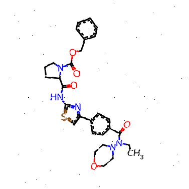 CCN(C(=O)c1ccc(-c2csc(NC(=O)C3CCCN3C(=O)OCc3ccccc3)n2)cc1)N1CCOCC1